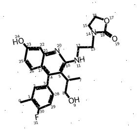 Cc1cc(-c2c(C(C)CO)c(NCCN3CCOC3=O)nc3cc(O)ccc23)ccc1F